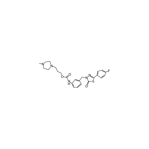 CN1CCN(CCCOC(=O)Nc2cccc(Cn3nc(-c4ccc(F)cc4)sc3=O)c2)CC1